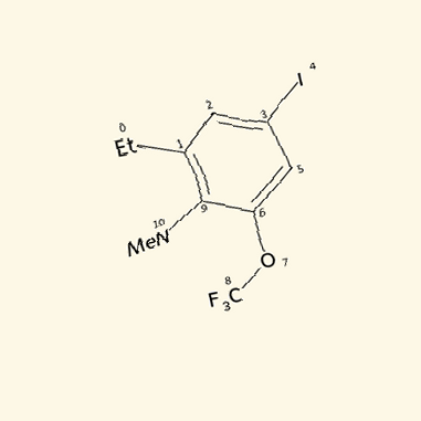 CCc1cc(I)cc(OC(F)(F)F)c1NC